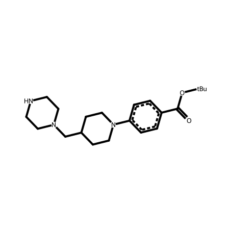 CC(C)(C)OC(=O)c1ccc(N2CCC(CN3CCNCC3)CC2)cc1